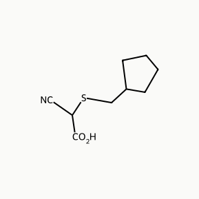 N#CC(SCC1CCCC1)C(=O)O